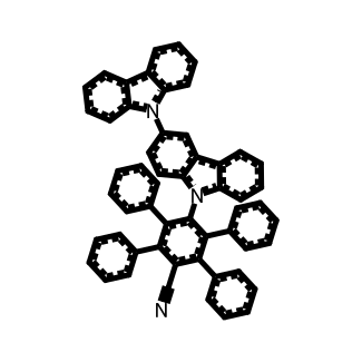 N#Cc1c(-c2ccccc2)c(-c2ccccc2)c(-n2c3ccccc3c3cc(-n4c5ccccc5c5ccccc54)ccc32)c(-c2ccccc2)c1-c1ccccc1